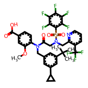 COc1cc(C(=O)O)ccc1N(Cc1cc(C2CC2)cc(C(C)(C)C)c1)C(=O)CN(Cc1ncccc1C(F)(F)F)S(=O)(=O)c1c(F)c(F)c(F)c(F)c1F